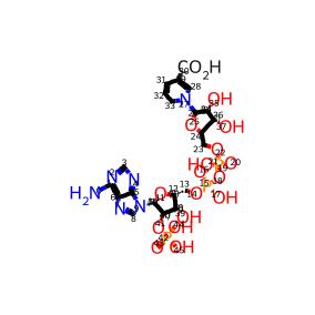 Nc1ncnc2c1ncn2[C@@H]1O[C@H](COP(=O)(O)OP(=O)(O)OCC2OC(N3C=C(C(=O)O)C=CC3)[C@H](O)[C@@H]2O)[C@@H](O)[C@H]1OP(=O)(O)O